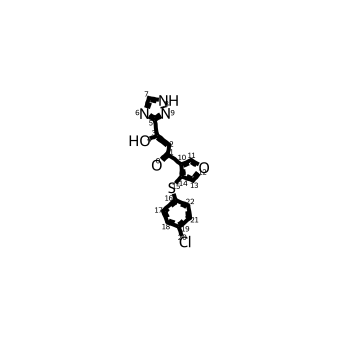 O=C(C=C(O)c1nc[nH]n1)c1cocc1Sc1ccc(Cl)cc1